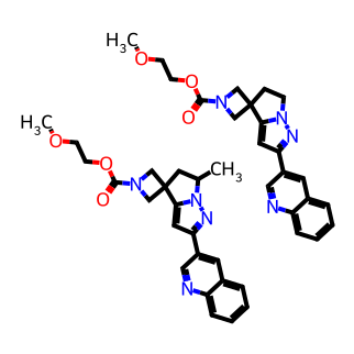 COCCOC(=O)N1CC2(CC(C)n3nc(-c4cnc5ccccc5c4)cc32)C1.COCCOC(=O)N1CC2(CCn3nc(-c4cnc5ccccc5c4)cc32)C1